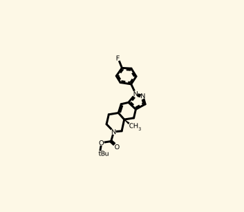 CC(C)(C)OC(=O)N1CCC2=Cc3c(cnn3-c3ccc(F)cc3)C[C@]2(C)C1